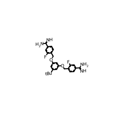 CC(C)(C)c1cc(OCc2ccc(C(=N)N)cc2F)cc(OCc2ccc(C(=N)N)cc2F)c1